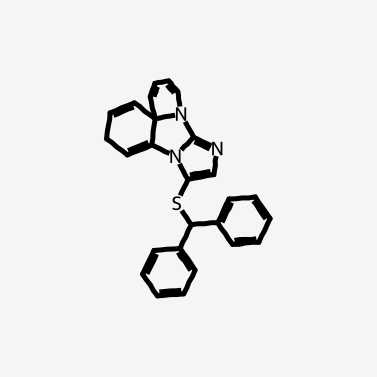 C1=CN2c3ncc(SC(c4ccccc4)c4ccccc4)n3C3=CCC=CC32C=C1